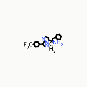 CC(N)(Cc1ccccc1)c1ccnc2c(-c3ccc(C(F)(F)F)cc3)cnn12